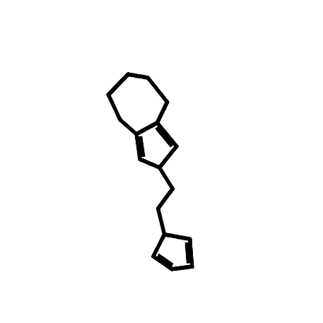 C1=CC(CCC2C=C3CCCCCC3=C2)C=C1